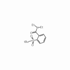 CCN(CC)C(=O)c1ccccc1S(=O)(=O)C(C)(C)C